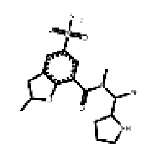 CCC(C1CCCN1)N(C)C(=O)c1cc(S(N)(=O)=O)cc2c1OC(C)C2